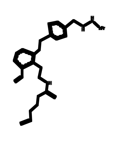 C=CCCCC(=C)NCCc1c(C=C)cccc1CCc1ccc(CNNCCC)cc1